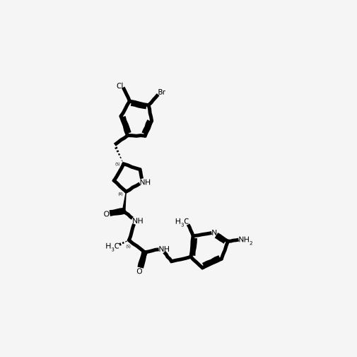 Cc1nc(N)ccc1CNC(=O)[C@H](C)NC(=O)[C@H]1C[C@H](Cc2ccc(Br)c(Cl)c2)CN1